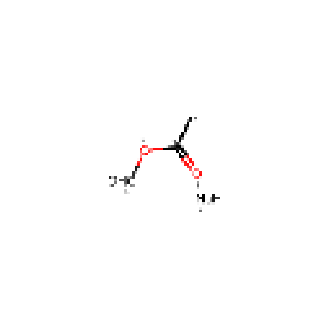 CC(=O)OC=O.[NaH]